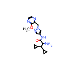 COc1nccnc1Cn1cc(NC(=O)C(N)C(C2CC2)C2CC2)cn1